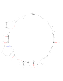 CC1(C)C=CC=CC(=O)C=CC=CC=CC=CC=CC=C2C=CC=C(O2)C(=O)C(=O)N2CC=CC=C2C(=O)OC(C)(C)C(C)(C)C1=O